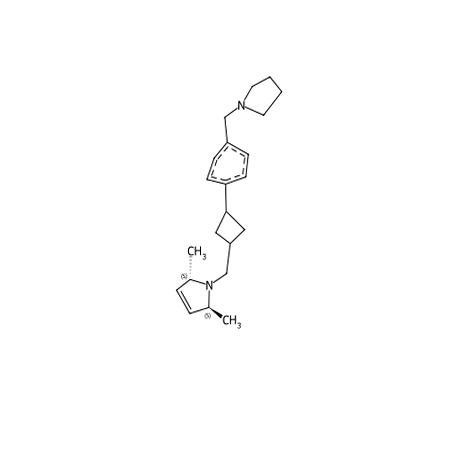 C[C@H]1C=C[C@H](C)N1CC1CC(c2ccc(CN3CCCC3)cc2)C1